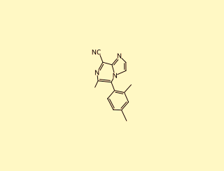 Cc1ccc(-c2c(C)nc(C#N)c3nccn23)c(C)c1